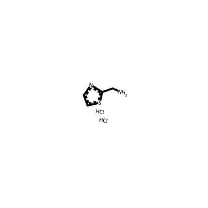 Cl.Cl.NCc1nccs1